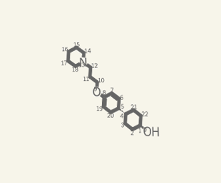 O[C@H]1CC[C@H](C2C=CC(OCCCN3CCCCC3)=CC2)CC1